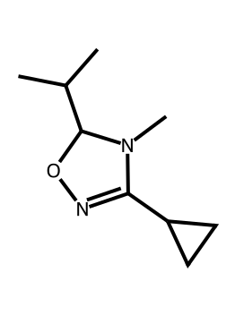 CC(C)C1ON=C(C2CC2)N1C